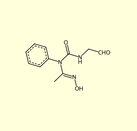 C/C(=N\O)N(C(=O)NC[C]=O)c1ccccc1